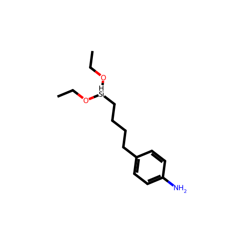 CCO[SiH](CCCCc1ccc(N)cc1)OCC